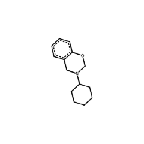 c1ccc2c(c1)CN(C1CCCCC1)CO2